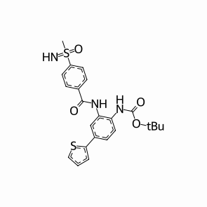 CC(C)(C)OC(=O)Nc1ccc(-c2cccs2)cc1NC(=O)c1ccc(S(C)(=N)=O)cc1